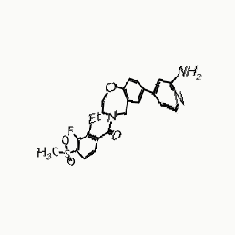 CCc1c(C(=O)N2CCOc3ccc(-c4ccnc(N)c4)cc3C2)ccc(S(C)(=O)=O)c1F